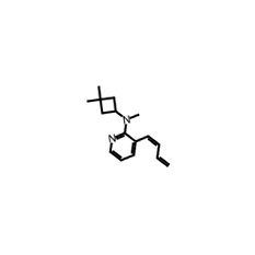 C=C/C=C\c1cccnc1N(C)C1CC(C)(C)C1